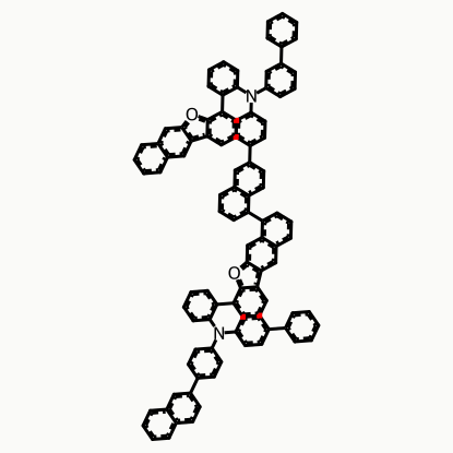 c1ccc(-c2ccc(N(c3ccc(-c4ccc5ccccc5c4)cc3)c3ccccc3-c3cccc4c3oc3cc5c(-c6cccc7cc(-c8ccc(N(c9cccc(-c%10ccccc%10)c9)c9ccccc9-c9cccc%10c9oc9cc%11ccccc%11cc9%10)cc8)ccc67)cccc5cc34)cc2)cc1